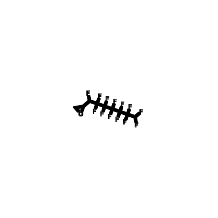 FC(F)C(F)(F)C(F)(F)C(F)(F)C(F)(F)C(F)(F)C(F)C1CO1